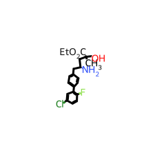 CCOC(=O)C(C)(CO)C[C@H](N)Cc1ccc(-c2cc(Cl)ccc2F)cc1